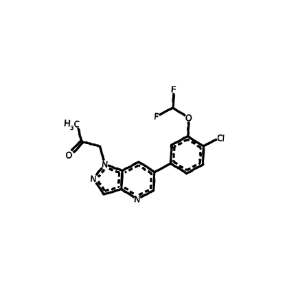 CC(=O)Cn1ncc2ncc(-c3ccc(Cl)c(OC(F)F)c3)cc21